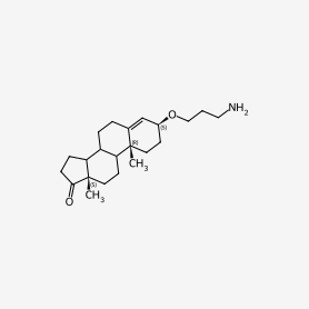 C[C@]12CC[C@H](OCCCN)C=C1CCC1C2CC[C@]2(C)C(=O)CCC12